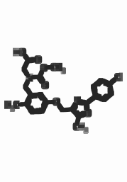 COC(=O)N(CC(=O)O)Cc1cc(OCc2nc(-c3ccc(Cl)cc3)oc2C)ccc1C